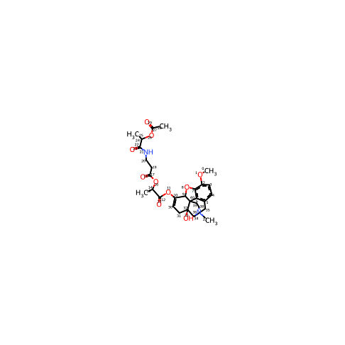 COc1ccc2c3c1OC1C(OC(=O)C(C)OC(=O)CCNC(=O)C(C)OC(C)=O)=CCC4(O)C(C2)N(C)CCC314